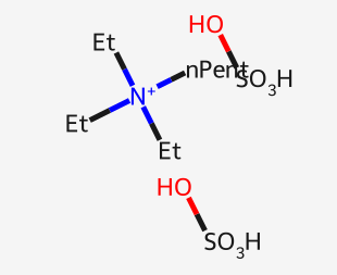 CCCCC[N+](CC)(CC)CC.O=S(=O)(O)O.O=S(=O)(O)O